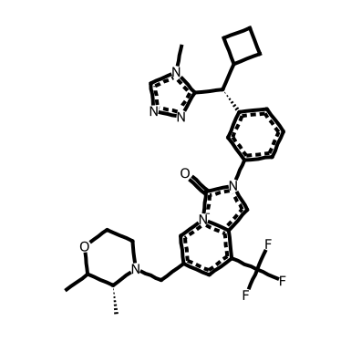 CC1OCCN(Cc2cc(C(F)(F)F)c3cn(-c4cccc([C@H](c5nncn5C)C5CCC5)c4)c(=O)n3c2)[C@@H]1C